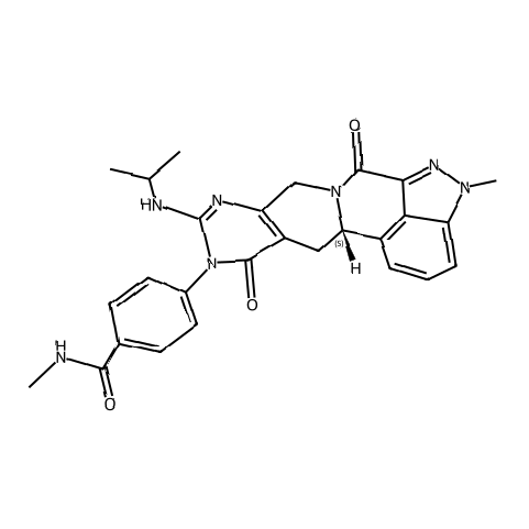 CNC(=O)c1ccc(-n2c(NC(C)C)nc3c(c2=O)C[C@H]2c4cccc5c4c(nn5C)C(=O)N2C3)cc1